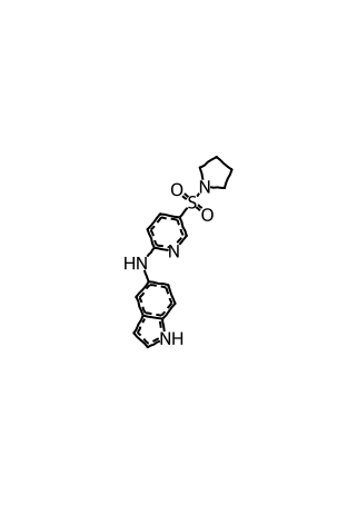 O=S(=O)(c1ccc(Nc2ccc3[nH]ccc3c2)nc1)N1CCCC1